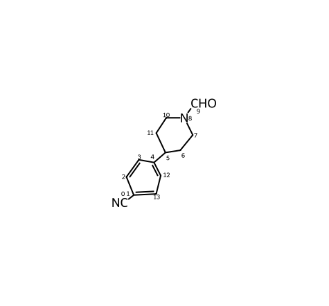 N#Cc1ccc(C2CCN(C=O)CC2)cc1